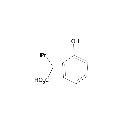 CC(C)CC(=O)O.Oc1ccccc1